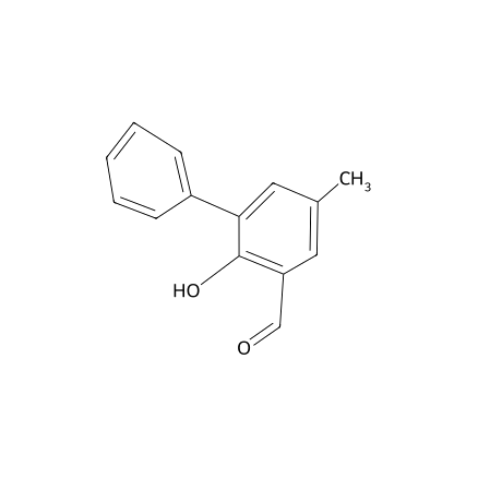 Cc1cc(C=O)c(O)c(-c2ccccc2)c1